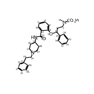 CN(CCC(Oc1ccccc1C(=O)NC1CCN(CCc2ccccc2)CC1)c1ccccc1)C(=O)O